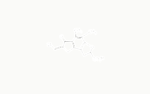 CCC=C1Cc2c3c(c(C)c(C)c2C1=O)OC(C(=O)O)C3